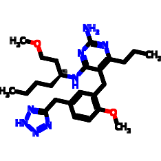 CCCC[C@@H](CCOC)Nc1nc(N)nc(CCC)c1Cc1cc(Cc2nn[nH]n2)ccc1OC